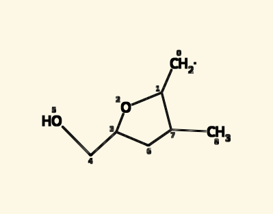 [CH2]C1OC(CO)CC1C